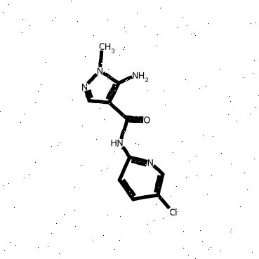 Cn1ncc(C(=O)Nc2ccc(Cl)cn2)c1N